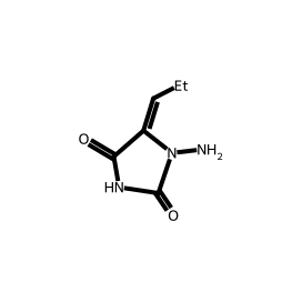 CCC=C1C(=O)NC(=O)N1N